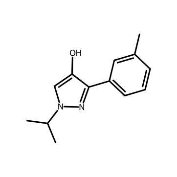 Cc1cccc(-c2nn(C(C)C)cc2O)c1